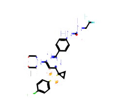 C[C@H]1COCCN1c1cc(C2(S(=O)(=O)c3ccc(Cl)cc3)CC2)nc(-c2ccc(NC(=O)NCC(F)F)cc2)n1